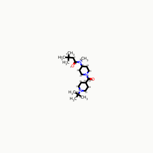 CN(C(=O)CC(C)(C)C)C1CCN(C(=O)C2CCN(C(C)(C)C)CC2)CC1